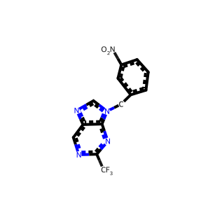 O=[N+]([O-])c1cccc(Cn2cnc3cnc(C(F)(F)F)nc32)c1